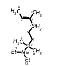 CC=C(C)[SiH2]CC[Si](C)(C)N(CC)CC